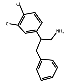 NCC(Cc1ccccc1)c1ccc(Cl)c(Cl)c1